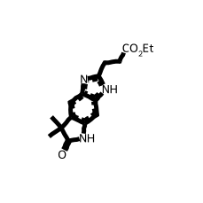 CCOC(=O)CCc1nc2cc3c(cc2[nH]1)NC(=O)C3(C)C